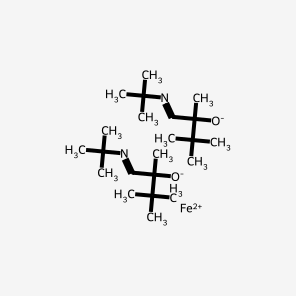 CC(C)(C)N=CC(C)([O-])C(C)(C)C.CC(C)(C)N=CC(C)([O-])C(C)(C)C.[Fe+2]